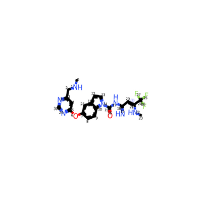 CNCc1cc(Oc2ccc3c(ccn3C(=O)NC(=N)/C=C(\NC)C(F)(F)F)c2)ncn1